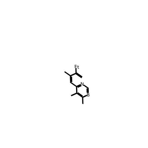 C=C(CC)/C(C)=C\c1ncbc(C)c1C